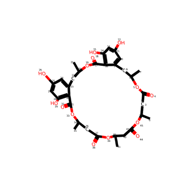 CC1CC(=O)OC(C)Cc2cc(O)cc(O)c2C(=O)OC(C)Cc2cc(O)cc(O)c2C(=O)OC(C)CC(=O)OC(C)CC(=O)O1